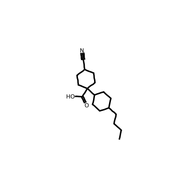 CCCCC1CCC(C2(C(=O)O)CCC(C#N)CC2)CC1